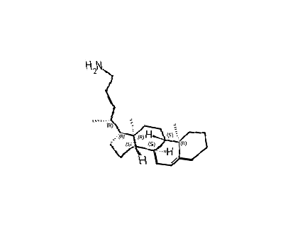 C[C@H](CCCN)[C@H]1CC[C@H]2[C@@H]3CC=C4CCCC[C@]4(C)[C@H]3CC[C@]12C